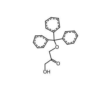 O=C(CO)COC(c1ccccc1)(c1ccccc1)c1ccccc1